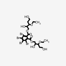 CCOC(CCO)C(O)COC(=O)c1c(Br)c(Br)c(Br)c(Br)c1C(=O)OCC(O)C(CCO)OCC